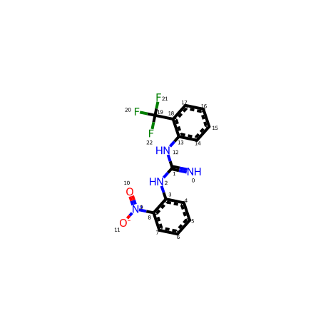 N=C(Nc1ccccc1[N+](=O)[O-])Nc1ccccc1C(F)(F)F